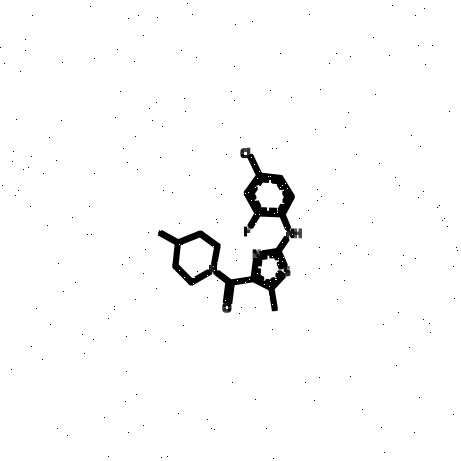 Cc1sc(Nc2ccc(Cl)cc2F)nc1C(=O)N1CCC(C)CC1